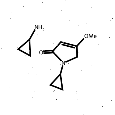 COC1=CC(=O)N(C2CC2)C1.NC1CC1